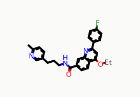 CCOc1cc(-c2ccc(F)cc2)nc2cc(C(=O)NCCCc3ccc(C)nc3)ccc12